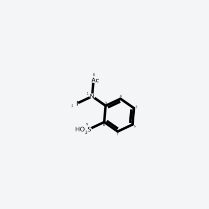 CC(=O)N(I)c1ccccc1S(=O)(=O)O